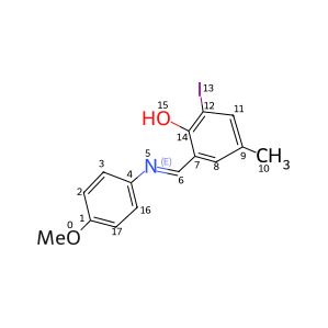 COc1ccc(/N=C/c2cc(C)cc(I)c2O)cc1